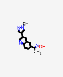 CC(=NO)c1ccc2ncc(-c3cnn(C)c3)cc2c1